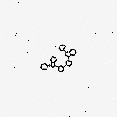 c1ccc(-n2cc(-c3cccc(-c4cccc(-c5cn(-c6ccccc6)c6ccccc56)c4)c3)c3ccccc32)cc1